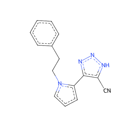 N#Cc1[nH]nnc1-c1cccn1CCc1ccccc1